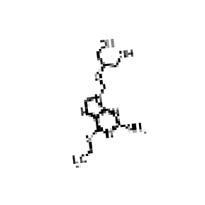 CCSc1nc(N)nc2c1ncn2COC(CO)CO